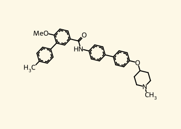 COc1ccc(C(=O)Nc2ccc(-c3ccc(OC4CCN(C)CC4)cc3)cc2)cc1-c1ccc(C)cc1